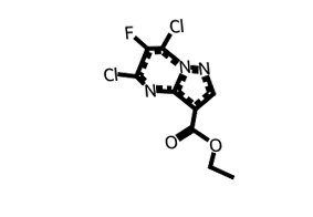 CCOC(=O)c1cnn2c(Cl)c(F)c(Cl)nc12